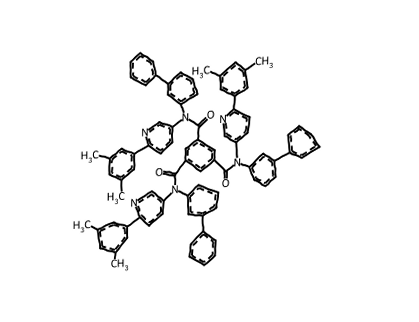 Cc1cc(C)cc(-c2ccc(N(C(=O)c3cc(C(=O)N(c4ccc(-c5cc(C)cc(C)c5)nc4)c4cccc(-c5ccccc5)c4)cc(C(=O)N(c4ccc(-c5cc(C)cc(C)c5)nc4)c4cccc(-c5ccccc5)c4)c3)c3cccc(-c4ccccc4)c3)cn2)c1